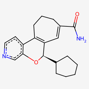 NC(=O)C1=CC2=C(CCC1)c1ccncc1O[C@@H]2C1CCCCC1